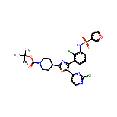 CC(C)(C)OC(=O)N1CCC(c2nc(-c3cccc(NS(=O)(=O)c4ccoc4)c3F)c(-c3ccnc(Cl)n3)s2)CC1